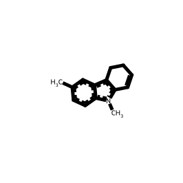 Cc1ccc2c(c1)c1c(n2C)C=CCC1